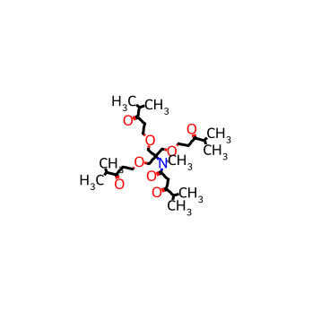 CC(C)C(=O)CCOCC(COCCC(=O)C(C)C)(COCCC(=O)C(C)C)N(C)C(=O)CC(=O)C(C)C